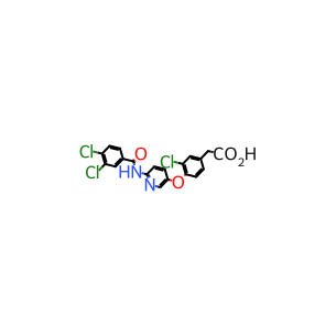 O=C(O)Cc1ccc(Oc2ccc(NC(=O)c3ccc(Cl)c(Cl)c3)nc2)c(Cl)c1